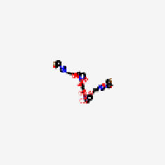 O=C(CCCC(=O)OCn1c(=O)ccc2ccc(OCCCCN3CCN(c4cccc5sccc45)CC3)cc21)OCn1c(=O)ccc2ccc(OCCCCN3CCN(c4cccc5sccc45)CC3)cc21